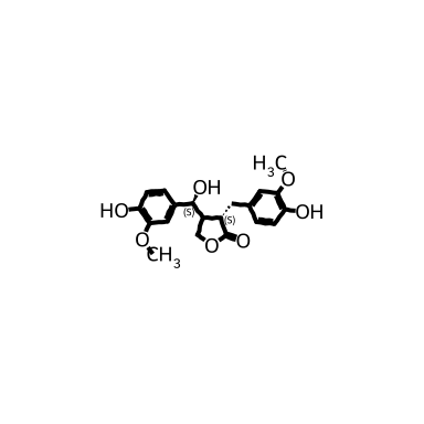 COc1cc(C[C@@H]2C(=O)OCC2[C@H](O)c2ccc(O)c(OC)c2)ccc1O